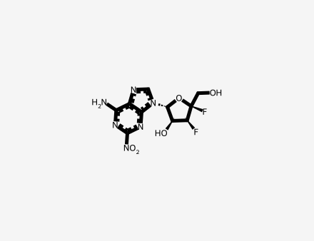 Nc1nc([N+](=O)[O-])nc2c1ncn2[C@@H]1O[C@](F)(CO)[C@@H](F)[C@H]1O